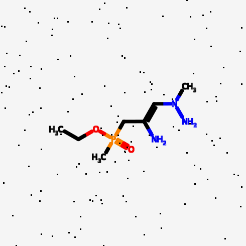 CCOP(C)(=O)C/C(N)=C/N(C)N